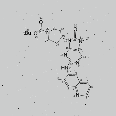 Cc1cc2ncccc2cc1Nc1ncc2c(n1)n(C1CCN(C(=O)OC(C)(C)C)CC1)c(=O)n2C